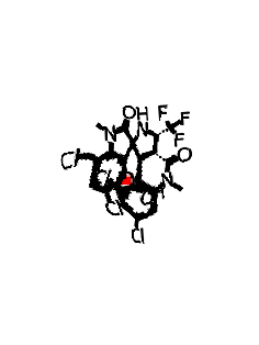 CN(C(=O)[C@@H]1C(C(=O)O)C2(N[C@@H]1C(F)(F)F)C(=O)N(C)c1c(Cl)cc(Cl)cc12)c1cc(Cl)cc(Cl)c1